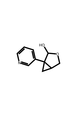 OC1OCC2CC21c1cccnc1